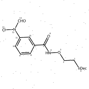 CCCCCCCCCCCCONC(=O)c1cccc(N(Cl)C=O)c1